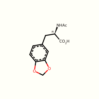 CC(=O)N[C@H](Cc1ccc2c(c1)OCO2)C(=O)O